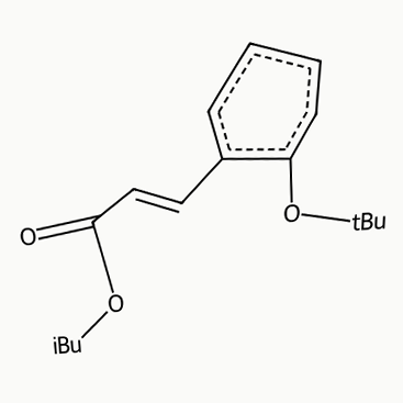 CCC(C)OC(=O)C=Cc1ccccc1OC(C)(C)C